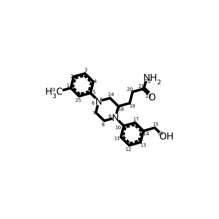 Cc1cccc(N2CCN(c3cccc(CO)c3)C(CCC(N)=O)C2)c1